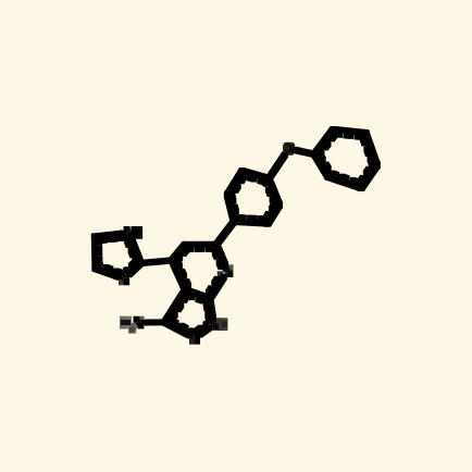 Nc1n[nH]c2nc(-c3ccc(Oc4ccccc4)cc3)cc(-c3ncc[nH]3)c12